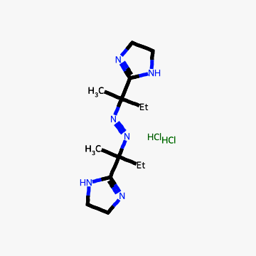 CCC(C)(N=NC(C)(CC)C1=NCCN1)C1=NCCN1.Cl.Cl